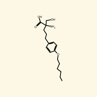 CCCCCCOc1ccc(CCCC(N)(CO)C(=O)O)cc1